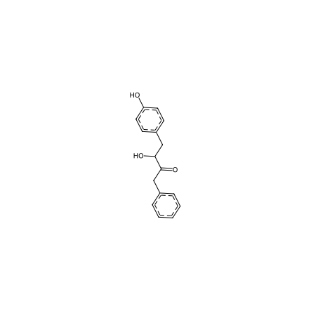 O=C(Cc1ccccc1)C(O)Cc1ccc(O)cc1